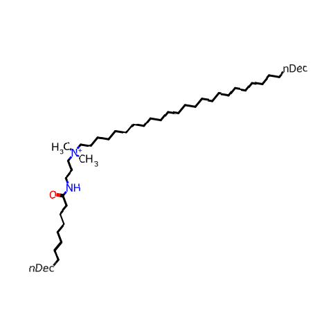 CCCCCCCCCCCCCCCCCCCCCCCCCCCCCCCCCC[N+](C)(C)CCCNC(=O)CCCCCCCCCCCCCCCCC